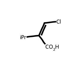 CC(C)C(=CCl)C(=O)O